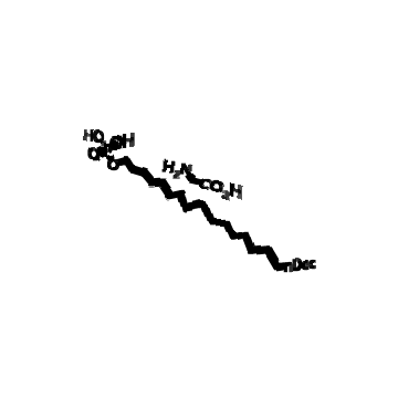 CCCCCCCCCCCCCCCCCCCCCCCCCCOP(=O)(O)O.NCC(=O)O